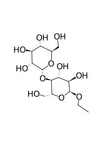 CCO[C@H]1O[C@H](CO)[C@@H](O[C@H]2O[C@H](CO)[C@@H](O)[C@H](O)[C@H]2O)[C@H](O)[C@H]1O